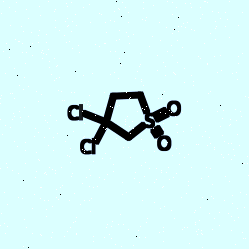 O=S1(=O)CCC(Cl)(Cl)C1